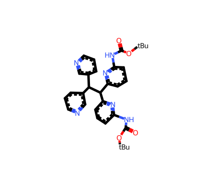 CC(C)(C)OC(=O)Nc1cccc(C(c2cccc(NC(=O)OC(C)(C)C)n2)C(c2cccnc2)c2cccnc2)n1